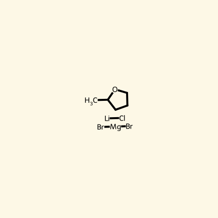 CC1CCCO1.[Br][Mg][Br].[Li][Cl]